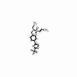 C/C=C/S(=O)(=O)N(CC)Cc1ccc(-c2noc(C(F)(F)F)n2)cc1